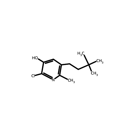 Cc1nc(Cl)c(O)cc1CCC(C)(C)C